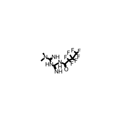 CN(C)C(=N)NC(=N)NC(=O)C(F)(F)C(F)(F)C(F)(F)F